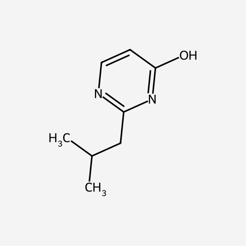 CC(C)Cc1nccc(O)n1